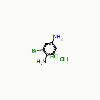 Cl.Cl.Nc1ccc(N)c(Br)c1